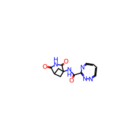 O=C(NC12CC(C1)C(=O)NC2=O)/C1=N/N=C=CC=C=N1